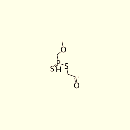 COC[PH](=S)SC[C]=O